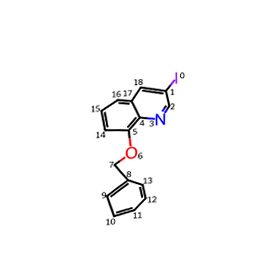 Ic1cnc2c(OCc3ccccc3)cccc2c1